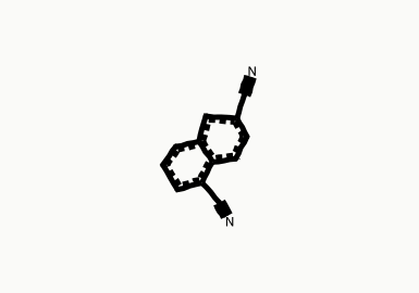 N#Cc1c[c]c2c(C#N)cccc2c1